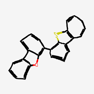 C1=Cc2sc3c(-c4cccc5c4oc4ccccc45)cccc3c2C=CC1